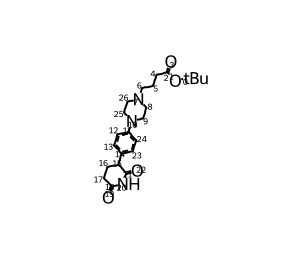 CC(C)(C)OC(=O)CCCN1CCN(c2ccc(C3CCC(=O)NC3=O)cc2)CC1